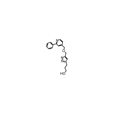 OCCCn1cc(COCc2ccnc(-c3ccccc3)c2)nn1